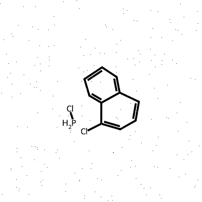 Clc1cccc2ccccc12.PCl